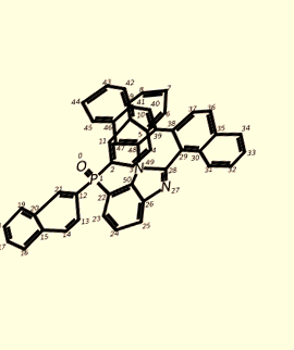 O=P(c1ccc2ccccc2c1)(c1ccc2ccccc2c1)c1cccc2nc3c4c5ccccc5ccc4c4cc5ccccc5cc4n3c12